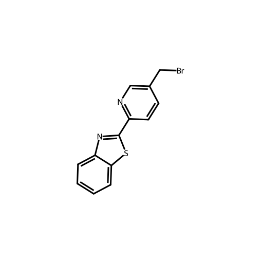 BrCc1ccc(-c2nc3ccccc3s2)nc1